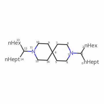 CCCCCCCC(CCCCCC)N1CCC2(CC1)CCN(C(CCCCCC)CCCCCCC)CC2